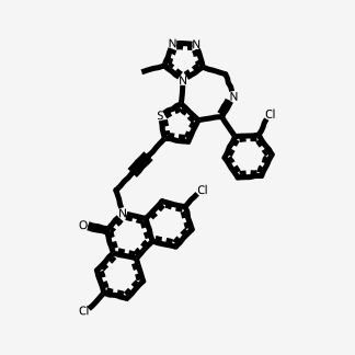 Cc1nnc2n1-c1sc(C#CCn3c(=O)c4cc(Cl)ccc4c4ccc(Cl)cc43)cc1C(c1ccccc1Cl)=NC2